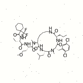 CCC[C@H]1NC(=O)[C@H](Cc2cc(Cl)ccc2Cl)N(C)C(=O)[C@H](CC(C)C)NC(=O)[C@@H](N(C)C(=O)[C@H](CCOC)NC(=O)[C@H](CC)NC(=O)C2(C(F)(F)F)CCCCC2)CCCCNC1=O